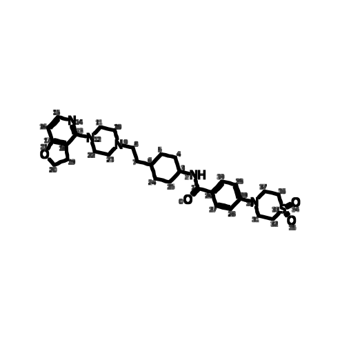 O=C(NC1CCC(CCN2CCN(c3nccc4c3CCO4)CC2)CC1)c1ccc(N2CCS(=O)(=O)CC2)cc1